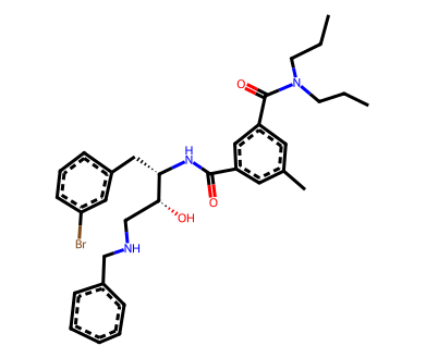 CCCN(CCC)C(=O)c1cc(C)cc(C(=O)N[C@@H](Cc2cccc(Br)c2)[C@H](O)CNCc2ccccc2)c1